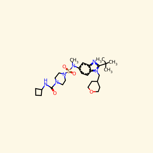 CN(c1ccc2c(c1)nc(C(C)(C)C)n2CC1CCOCC1)S(=O)(=O)N1CCN(C(=O)NC2CCC2)CC1